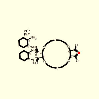 N[C@@H]1CCCC[C@H]1N.N[C@@H]1CCCC[C@H]1N.O=C([O-])[C@H]1OCCOCCO[C@@H](C(=O)[O-])[C@H](C(=O)[O-])OCCOCCO[C@H]1C(=O)[O-].[Pt+2].[Pt+2]